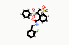 O=C(NCc1ccccc1F)c1cccc2c1C(S(=O)(=O)c1ccccc1)CS2(=O)=O